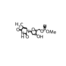 CO[PH](=O)OC[C@@H]1O[C@H](n2cc(C)c(=O)[nH]c2=O)C[C@@H]1O